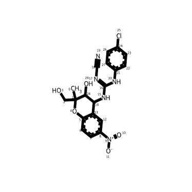 CC1(CO)Oc2ccc([N+](=O)[O-])cc2C(NC(=NC#N)Nc2ccc(Cl)cc2)C1O